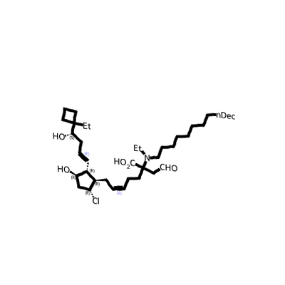 CCCCCCCCCCCCCCCCCCN(CC)C(CC=O)(CC/C=C\C[C@@H]1[C@@H](/C=C/C[C@H](O)C2(CC)CCC2)[C@H](O)C[C@H]1Cl)C(=O)O